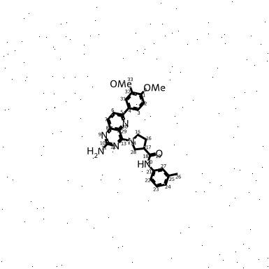 COc1ccc(-c2ccc3nc(N)nc(N4CCC(C(=O)Nc5cccc(C)c5)C4)c3n2)cc1OC